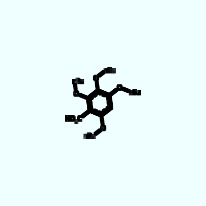 CCCCOc1cc(OCCCC)c(C(=O)O)c(OCCCC)c1OCCCC